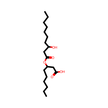 CCCCCCCC(O)CC(=O)OC(CCCCCC)CC(=O)O